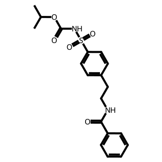 CC(C)OC(=O)NS(=O)(=O)c1ccc(CCNC(=O)c2ccccc2)cc1